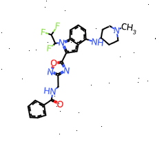 CN1CCC(Nc2cccc3c2cc(-c2nc(CNC(=O)c4ccccc4)no2)n3C(F)C(F)F)CC1